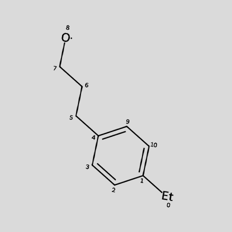 CCc1ccc(CCC[O])cc1